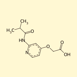 CC(C)C(=O)Nc1cc(OCC(=O)O)ccn1